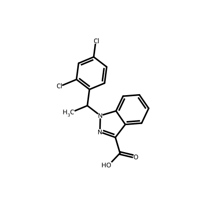 CC(c1ccc(Cl)cc1Cl)n1nc(C(=O)O)c2ccccc21